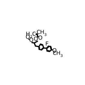 C=C(C)C(=O)OCC(COC=O)Cc1ccc(-c2ccc(OC)cc2F)cc1